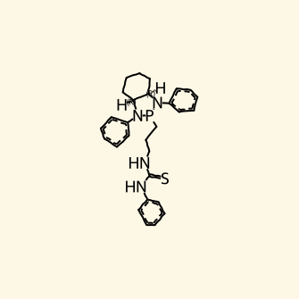 S=C(NCCCP1N(c2ccccc2)[C@@H]2CCCC[C@H]2N1c1ccccc1)Nc1ccccc1